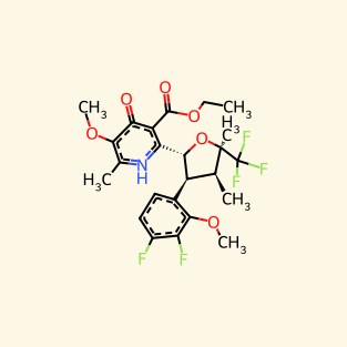 CCOC(=O)c1c([C@@H]2O[C@@](C)(C(F)(F)F)[C@@H](C)[C@H]2c2ccc(F)c(F)c2OC)[nH]c(C)c(OC)c1=O